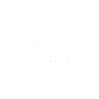 COc1ccc(C(=O)Nc2ccccc2-c2cc3ccccc3n2C)c(OC)c1